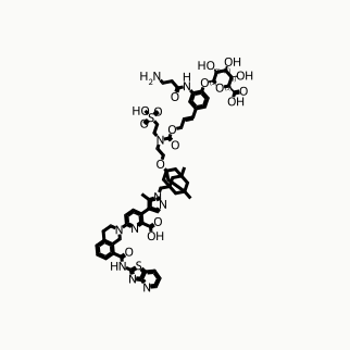 Cc1c(-c2ccc(N3CCc4cccc(C(=O)Nc5nc6ncccc6s5)c4C3)nc2C(=O)O)cnn1CC12CC3(C)CC(C)(C1)CC(OCCN(CCS(=O)(=O)O)C(=O)OCC=Cc1ccc(O[C@@H]4O[C@H](C(=O)O)[C@@H](O)[C@H](O)[C@H]4O)c(NC(=O)CCN)c1)(C3)C2